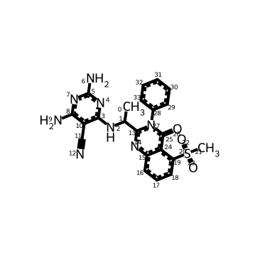 CC(Nc1nc(N)nc(N)c1C#N)c1nc2cccc(S(C)(=O)=O)c2c(=O)n1-c1ccccc1